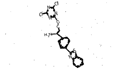 NC(CCOc1nc(Cl)nc(Cl)n1)c1ccc(-c2nc3ccccc3s2)cc1